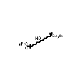 CCCOC(=O)C(C)(C)CCCCCC(O)CCCCCC(C)(C)C(=O)OCC